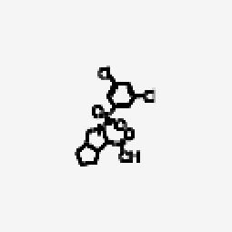 O=C(O)C1C2CCCC2CN1S(=O)(=O)c1cc(Cl)cc(Cl)c1